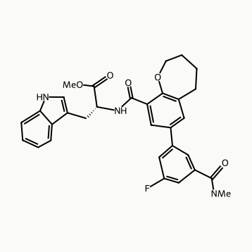 CNC(=O)c1cc(F)cc(-c2cc3c(c(C(=O)N[C@H](Cc4c[nH]c5ccccc45)C(=O)OC)c2)OCCCC3)c1